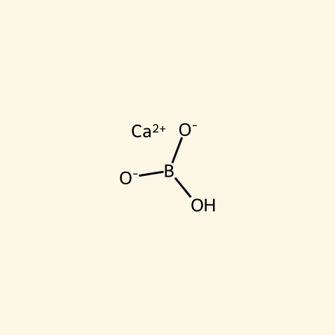 [Ca+2].[O-]B([O-])O